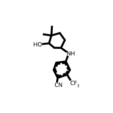 CC1(C)CCC(Nc2ccc(C#N)c(C(F)(F)F)c2)CC1O